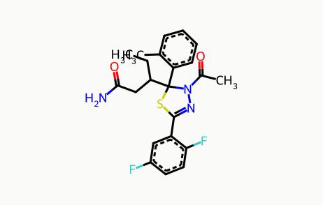 CCC(CC(N)=O)C1(c2ccccc2C)SC(c2cc(F)ccc2F)=NN1C(C)=O